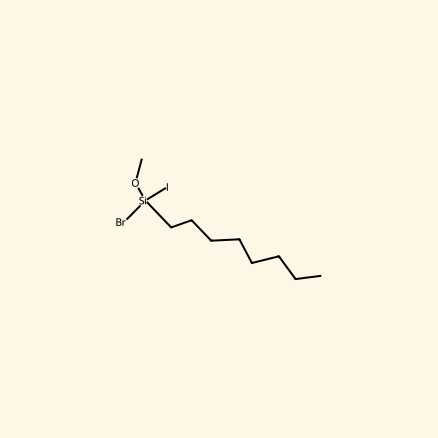 CCCCCCCC[Si](Br)(I)OC